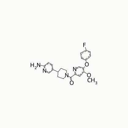 COc1cc(C(=O)N2CCC(c3ccc(N)nc3)CC2)ncc1Oc1ccc(F)cc1